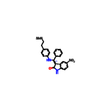 CNCCc1ccc(N/C(=C2\C(=O)Nc3ccc([N+](=O)[O-])cc32)c2ccccc2)cc1